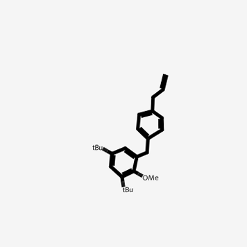 C=CCc1ccc(Cc2cc(C(C)(C)C)cc(C(C)(C)C)c2OC)cc1